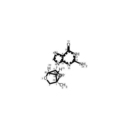 C[C@@]12CO[C@@H]([C@H](n3cnc4c(=O)[nH]c(N)nc43)O1)[C@@H]2O